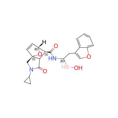 O=C(N[C@H](BO)Cc1coc2ccccc12)[C@H]1C2C(=O)N(C3CC3)C[C@]23C=C[C@H]1O3